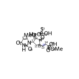 CO[C@H]1C(n2ccc(=O)[nH]c2=O)C[C@H](/C=C/P(=O)(O)OC)[C@H]1OP(O)(=S)OC